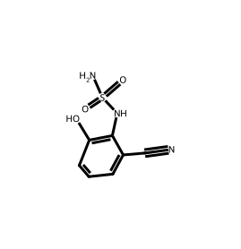 N#Cc1cccc(O)c1NS(N)(=O)=O